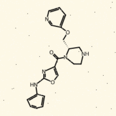 O=C(c1coc(Nc2ccccc2)n1)N1CCNC[C@H]1COc1cccnc1